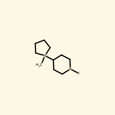 C[N+]1(C2CCN(F)CC2)CCCC1